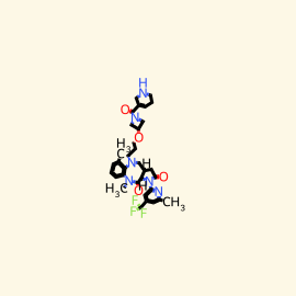 Cc1cc(C(F)(F)F)cc(N2C(=O)C[C@@H]3CN(CCCOC4CN(C(=O)C5=CCCNC5)C4)c4c(C)cccc4N(C)C(=O)[C@H]32)n1